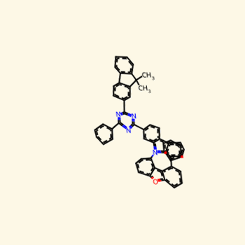 CC1(C)c2ccccc2-c2ccc(-c3nc(-c4ccccc4)nc(-c4ccc5c6ccccc6n(-c6cccc7oc8cccc(-c9ccccc9)c8c67)c5c4)n3)cc21